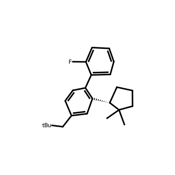 CC(C)(C)Cc1ccc(-c2ccccc2F)c([C@@H]2CCCC2(C)C)c1